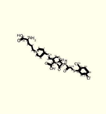 N[C@H](CCC[n+]1ccc(SCC2=C(C(=O)O)N3C(=O)[C@H](NC(=O)CSc4cc(Cl)ccc4Cl)[C@H]3SC2)cc1)C(=O)O